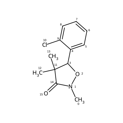 CN1OC(c2ccccc2Cl)C(C)(C)C1=O